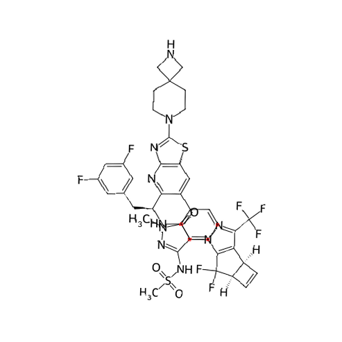 Cn1nc(NS(C)(=O)=O)c2cccc(-c3cc4sc(N5CCC6(CC5)CNC6)nc4nc3[C@H](Cc3cc(F)cc(F)c3)NC(=O)Cn3nc(C(F)(F)F)c4c3C(F)(F)[C@@H]3C=C[C@H]43)c21